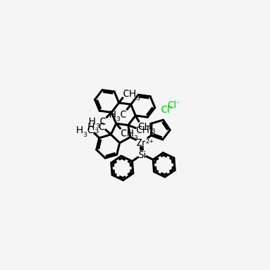 CC1=CC=CC2[CH]([Zr+2]([C]3=CC=CC3)=[Si](c3ccccc3)c3ccccc3)C3(C)C4(C)C=CC=CC4(C)C4(C)C=CC=CC4(C)C3(C)C12C.[Cl-].[Cl-]